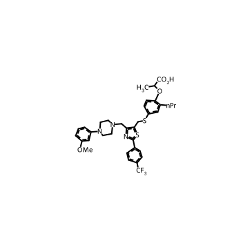 CCCc1cc(SCc2sc(-c3ccc(C(F)(F)F)cc3)nc2CN2CCN(c3cccc(OC)c3)CC2)ccc1OC(C)C(=O)O